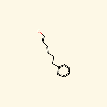 [O]C=CC=CCCc1ccccc1